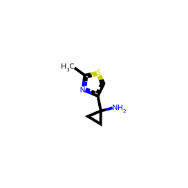 Cc1nc(C2(N)CC2)cs1